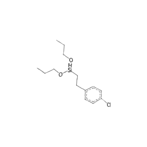 CCCO[SiH](CCc1ccc(Cl)cc1)OCCC